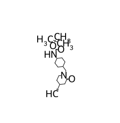 C#CC1CCN(CC2CCC(NC(=O)OC(C)(C)C)CC2)C(=O)C1